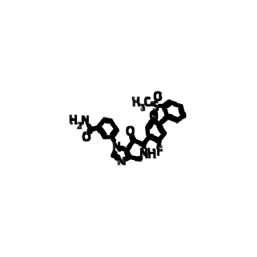 CS(=O)(=O)c1ccccc1-c1ccc(C2NCc3ncn(-c4cccc(C(N)=O)c4)c3C2=O)c(F)c1